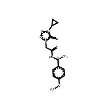 C[C@H](NC(=O)Cn1nnn(C2CC2)c1=O)c1ccc(OC(F)(F)F)cc1